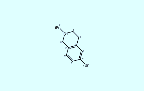 CC(C)N1CCc2cc(Br)ccc2C1